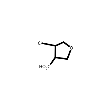 O=C(O)C1COCC1Cl